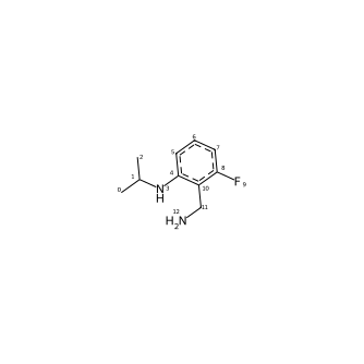 CC(C)Nc1cccc(F)c1CN